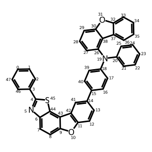 c1ccc(-c2nc3ccc4oc5ccc(-c6ccc(N(c7ccccc7)c7cccc8oc9ccccc9c78)cc6)cc5c4c3s2)cc1